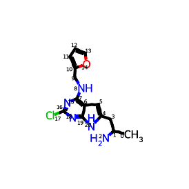 CC(N)Cc1cc2c(NCc3ccco3)nc(Cl)nc2[nH]1